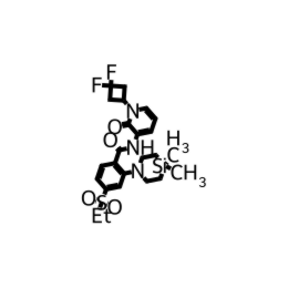 CCS(=O)(=O)c1ccc(C(=O)Nc2cccn(C3CC(F)(F)C3)c2=O)c(N2CC[Si](C)(C)CC2)c1